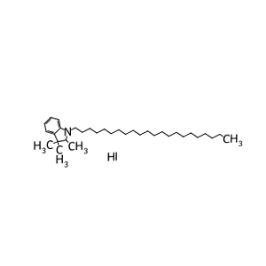 CCCCCCCCCCCCCCCCCCCCCCN1c2ccccc2C(C)(C)C1C.I